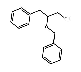 OC[C](Cc1ccccc1)OCc1ccccc1